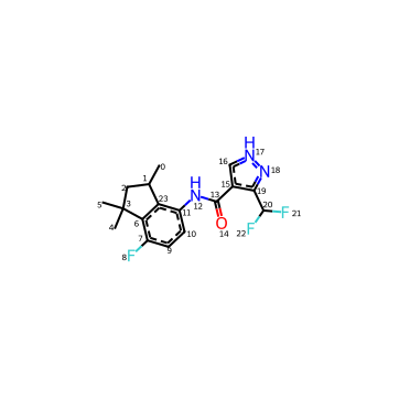 CC1CC(C)(C)c2c(F)ccc(NC(=O)c3c[nH]nc3C(F)F)c21